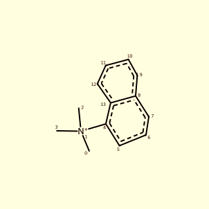 C[N+](C)(C)c1cccc2[c]cccc12